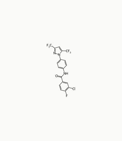 O=C(Nc1ccc(-n2nc(C(F)(F)F)cc2C(F)(F)F)cc1)c1ccc(F)c(Cl)c1